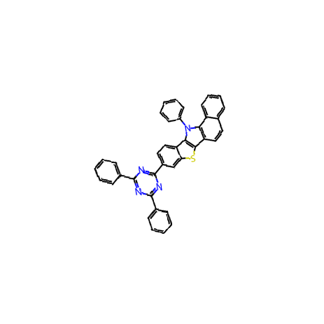 c1ccc(-c2nc(-c3ccccc3)nc(-c3ccc4c(c3)sc3c5ccc6ccccc6c5n(-c5ccccc5)c43)n2)cc1